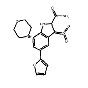 C1COCCN1.NC(=O)C1Nc2ccc(-c3ccco3)cc2C1=S(=O)=O